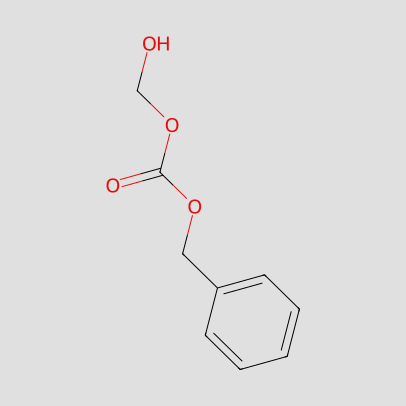 O=C(OCO)OCc1ccccc1